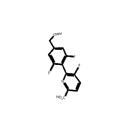 COCc1cc(F)c(-c2nc(C(=O)O)ccc2F)c(F)c1